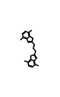 Cc1ccc(C)c2c1[CH]C(CCCC1=Cc3c(C)ccc(C)c3[CH]1)=C2